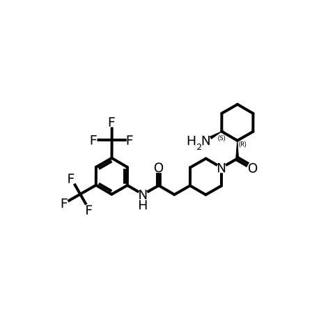 N[C@H]1CCCC[C@H]1C(=O)N1CCC(CC(=O)Nc2cc(C(F)(F)F)cc(C(F)(F)F)c2)CC1